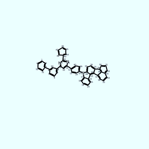 c1ccc(-c2cccc(-c3cc(-c4ccc(-n5c6ccccc6c6c7c(ccc65)-c5cccc6cccc-7c56)cc4)nc(-c4ccccc4)n3)c2)cc1